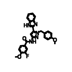 COc1ccc(Cn2nc(NC(=O)c3ccc(OC)c(F)c3)cc2-c2nc3ccccc3[nH]2)cc1